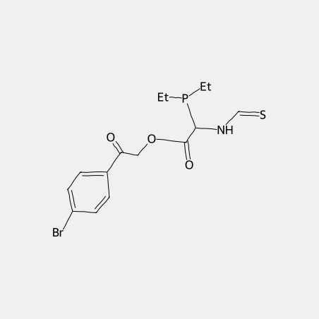 CCP(CC)C(NC=S)C(=O)OCC(=O)c1ccc(Br)cc1